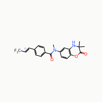 CN(C(=O)c1ccc(/C=C/C(F)(F)F)cc1)c1ccc2c(c1)NC(C)(C)C(=O)O2